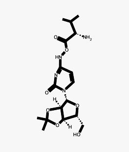 CC(C)[C@H](N)C(=O)ONc1ccn([C@@H]2O[C@H](CO)[C@H]3OC(C)(C)O[C@H]32)c(=O)n1